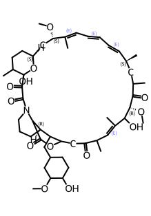 COC1CC(CC2C3CC(=O)C(C)/C=C(\C)C(O)[C@@H](OC)C(=O)C(C)C[C@H](C)/C=C/C=C/C=C(\C)[C@@H](OC)C[C@@H]4CCC(C)C(O)(O4)C(=O)C(=O)N4CCC[C@H]2C4C(=O)O3)CCC1O